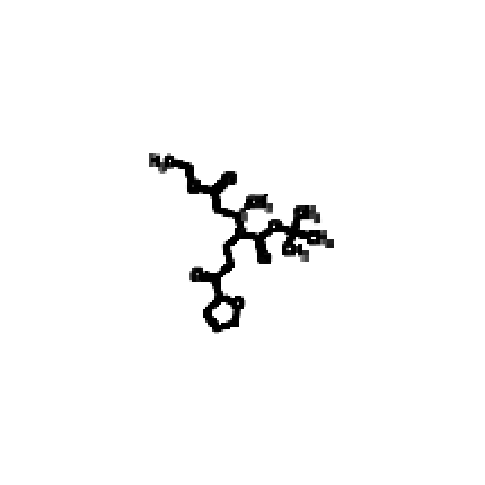 CCOC(=O)C[C@H](C)N(CCC(=O)C1CCCO1)C(=O)OC(C)(C)C